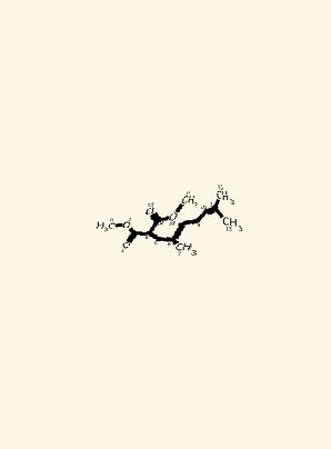 COC(=O)C(CC(C)=CCC=C(C)C)C(=O)OC